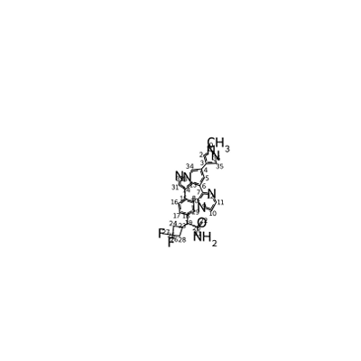 Cn1cc(-c2cc(-c3cnccn3)c3c(-c4ccc(C(C(N)=O)C5CC(F)(F)C5)cc4)cnn3c2)cn1